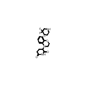 O=C1CCC(N2CCOc3c([C@H]4CCNCC4(F)F)cccc32)C(=O)N1